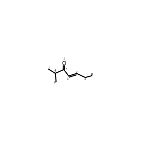 CCC=CC(=O)C(C)C